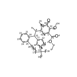 CCOC(=O)c1nc(C(C)C(c2cnn(C(F)(F)F)c2)c2ccccc2C#N)n(C)c(=O)c1OC